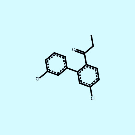 CCC(=O)c1ccc(Cl)cc1-c1cccc(Cl)c1